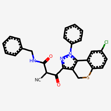 N#CC(C(=O)NCc1ccccc1)C(=O)c1nn(-c2ccccc2)c2c1CSc1ccc(Cl)cc1-2